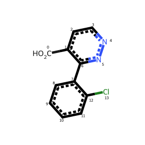 O=C(O)c1ccnnc1-c1ccccc1Cl